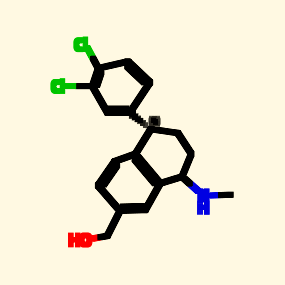 CNC1CC[C@@H](c2ccc(Cl)c(Cl)c2)c2ccc(CO)cc21